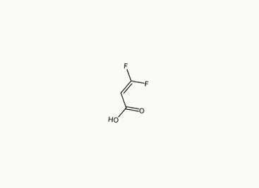 O=C(O)C=C(F)F